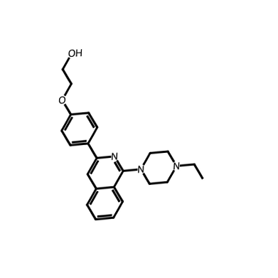 CCN1CCN(c2nc(-c3ccc(OCCO)cc3)cc3ccccc23)CC1